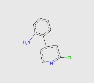 Nc1ccccc1-c1ccnc(Cl)c1